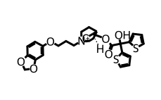 O=C(O[C@H]1C[N+]2(CCCOc3ccc4c(c3)OCO4)CCC1CC2)C(O)(c1cccs1)c1cccs1